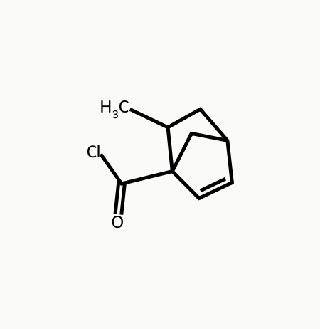 CC1CC2C=CC1(C(=O)Cl)C2